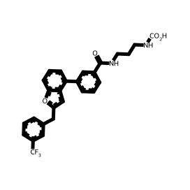 O=C(O)NCCCNC(=O)c1cccc(-c2cccc3oc(Cc4cccc(C(F)(F)F)c4)cc23)c1